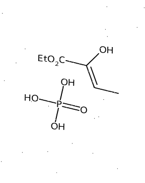 CC=C(O)C(=O)OCC.O=P(O)(O)O